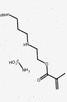 C=C(C)C(=O)OCCNCCCCCCCCCCCC.NC(=O)O